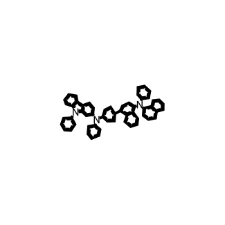 c1ccc(N(c2ccc(-c3ccc(N(c4ccccc4)c4cccc5ccccc45)c4ccccc34)cc2)c2ccc3c4ccccc4n(-c4ccccc4)c3c2)cc1